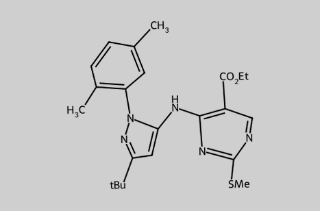 CCOC(=O)c1cnc(SC)nc1Nc1cc(C(C)(C)C)nn1-c1cc(C)ccc1C